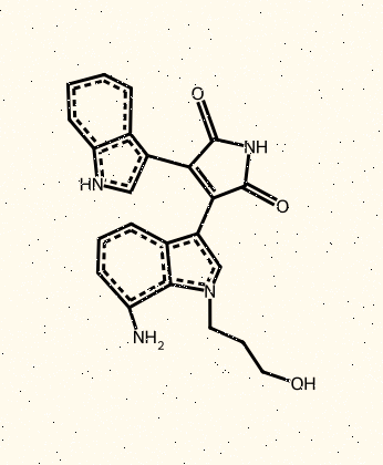 Nc1cccc2c(C3=C(c4c[nH]c5ccccc45)C(=O)NC3=O)cn(CCCO)c12